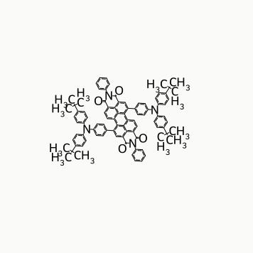 CC(C)(C)c1ccc(N(c2ccc(-c3cc4c5c(ccc6c7c(-c8ccc(N(c9ccc(C(C)(C)C)cc9)c9ccc(C(C)(C)C)cc9)cc8)cc8c9c(ccc(c3c56)c97)C(=O)N(c3ccccc3)C8=O)C(=O)N(c3ccccc3)C4=O)cc2)c2ccc(C(C)(C)C)cc2)cc1